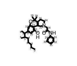 CCCCCC(C)C(C)c1cc(O)c2c(c1)OC(C)(C)C1=C2CN(CC(=O)Nc2ccccc2)CC1